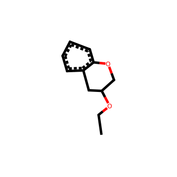 CCOC1COc2ccccc2C1